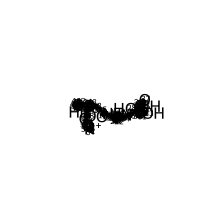 C[N+]1(C)CCC(OC(=O)Nc2cc(CCCC(=O)NCc3ccc(CNC[C@H](O)c4ccc(O)c5[nH]c(=O)ccc45)cc3)ccc2-c2ccccc2)CC1